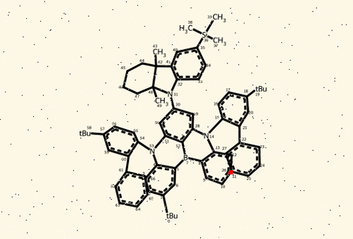 CC(C)(C)c1ccc2c(c1)B1c3ccccc3N(c3ccc(C(C)(C)C)cc3-c3ccccc3)c3cc(N4c5ccc([Si](C)(C)C)cc5C5(C)CCCCC45C)cc(c31)N2c1ccc(C(C)(C)C)cc1-c1ccccc1